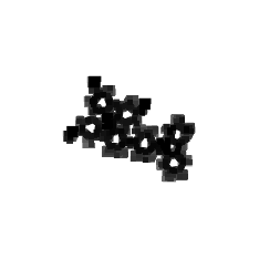 Fc1ccc([Si](c2ccc(F)cc2)(c2ccc(F)cc2)c2cccc(-c3ccc(-n4c5ccccc5c5ccccc54)cc3)c2)cc1